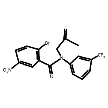 C=C(C)CN(C(=O)c1cc([N+](=O)[O-])ccc1Br)c1cccc(C(F)(F)F)c1